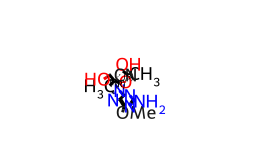 COc1nc(N)nc2c1ncn2[C@H](O[C@@H](C)CO)[C@](C)(C#N)CO